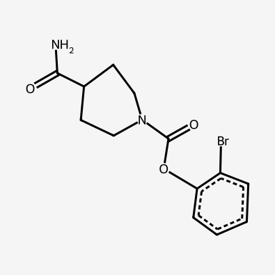 NC(=O)C1CCN(C(=O)Oc2ccccc2Br)CC1